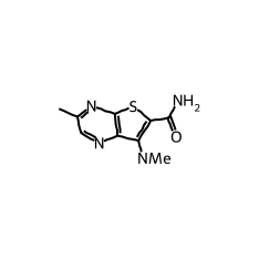 CNc1c(C(N)=O)sc2nc(C)cnc12